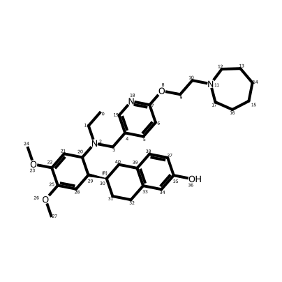 CCN(Cc1ccc(OCCN2CCCCCC2)nc1)C1C=C(OC)C(OC)=CC1[C@@H]1CCc2cc(O)ccc2C1